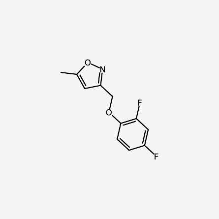 Cc1cc(COc2ccc(F)cc2F)no1